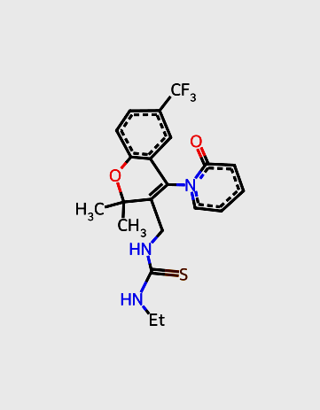 CCNC(=S)NCC1=C(n2ccccc2=O)c2cc(C(F)(F)F)ccc2OC1(C)C